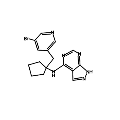 Brc1cncc(CC2(Nc3ncnc4[nH]ncc34)CCCC2)c1